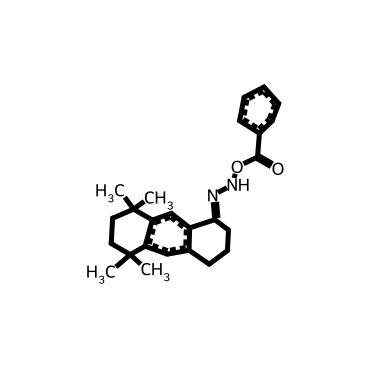 CC1(C)CCC(C)(C)c2cc3c(cc21)CCC/C3=N\NOC(=O)c1ccccc1